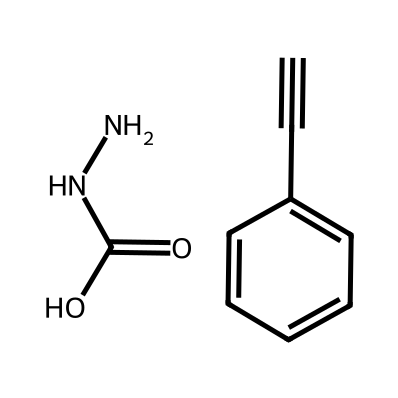 C#Cc1ccccc1.NNC(=O)O